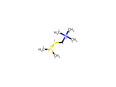 C[SH](C)SC[N+](C)(C)C